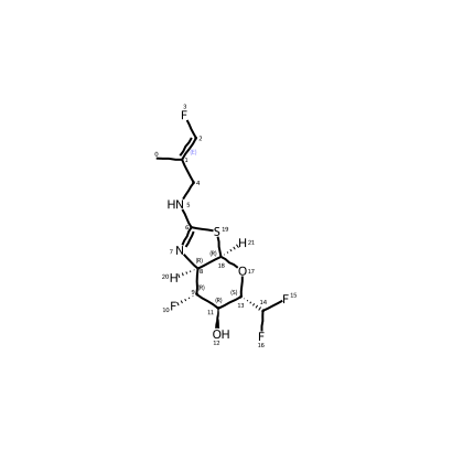 C/C(=C\F)CNC1=N[C@@H]2[C@@H](F)[C@H](O)[C@@H](C(F)F)O[C@@H]2S1